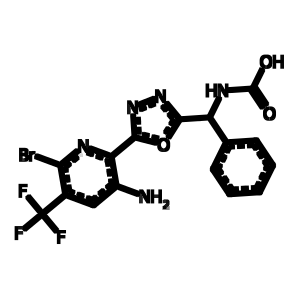 Nc1cc(C(F)(F)F)c(Br)nc1-c1nnc(C(NC(=O)O)c2ccccc2)o1